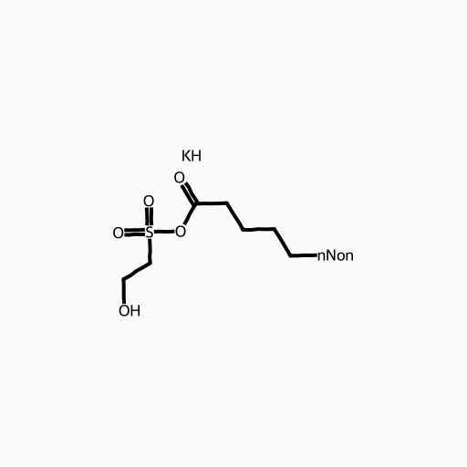 CCCCCCCCCCCCCC(=O)OS(=O)(=O)CCO.[KH]